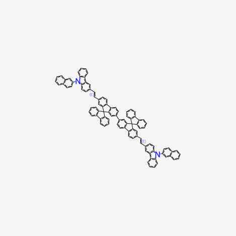 C(=C\c1ccc2c(c1)c1ccccc1n2-c1ccc2ccccc2c1)/c1ccc2c(c1)C1(c3ccccc3-c3ccccc31)c1cc(-c3ccc4c(c3)C3(c5ccccc5-c5ccccc53)c3cc(/C=C/c5ccc6c(c5)c5ccccc5n6-c5ccc6ccccc6c5)ccc3-4)ccc1-2